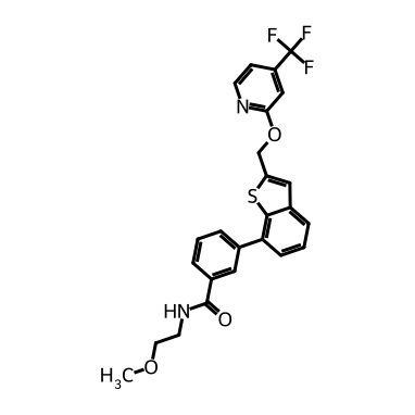 COCCNC(=O)c1cccc(-c2cccc3cc(COc4cc(C(F)(F)F)ccn4)sc23)c1